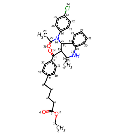 CCOC(=O)CCCCc1ccc(C(=O)C2[C@H](C)Nc3ccccc3[C@@H]2N(C(C)=O)c2ccc(Cl)cc2)cc1